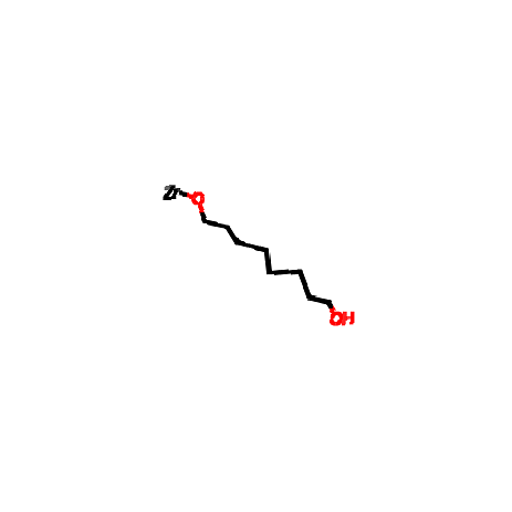 OCCCCCCCC[O][Zr]